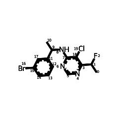 CC(F)c1ncnc(NC(C)c2cccc(Br)c2)c1Cl